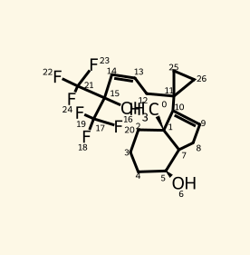 C[C@]12CCC[C@H](O)C1CC=C2C1(C/C=C\C(O)(C(F)(F)F)C(F)(F)F)CC1